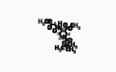 COC(=O)CC(=O)NC1=C(C(=O)OC)CN(C(=O)OC(C)(C)C)CC1